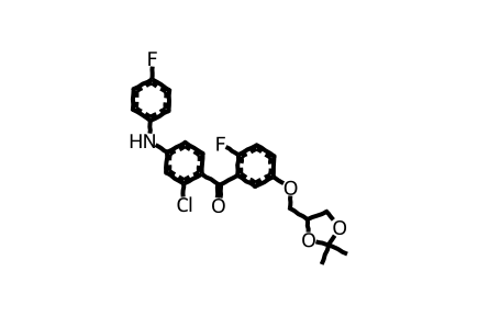 CC1(C)OCC(COc2ccc(F)c(C(=O)c3ccc(Nc4ccc(F)cc4)cc3Cl)c2)O1